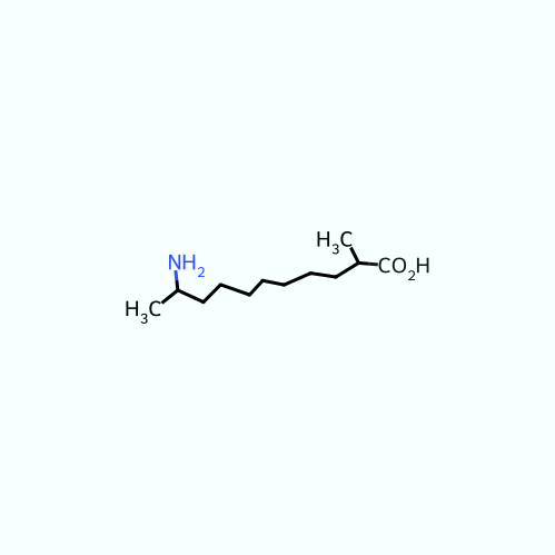 CC(N)CCCCCCCC(C)C(=O)O